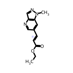 CCOC(=O)/C=C/c1cnc2cnn(C)c2c1